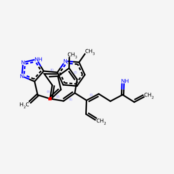 C=CC(=N)C/C=C(C=C)/C1=C/C=C/C=C(\C=C/C(=C)c2nn[nH]c2-c2cccc(C)n2)C(/C)=C\1